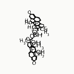 CC1CC2C3CCC4=CC(=O)C=CC4(C)C3(F)C(O)CC2(C)C1(O)C(=O)COBOCC(=O)C1(O)C(C)CC2C3CCC4=CC(=O)C=CC4(C)C3(F)C(O)CC21C